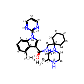 Cc1cccc2c1c(C(=O)NCC1(N3CCNC(C)C3)CCCCC1)cn2-c1ncccn1